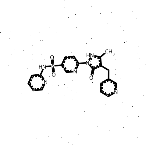 Cc1[nH]n(-c2ccc(S(=O)(=O)Nc3ccccn3)cn2)c(=O)c1Cc1cccnc1